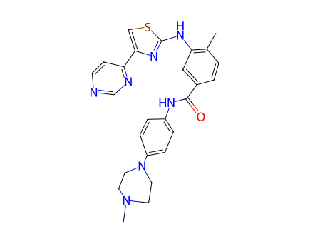 Cc1ccc(C(=O)Nc2ccc(N3CCN(C)CC3)cc2)cc1Nc1nc(-c2ccncn2)cs1